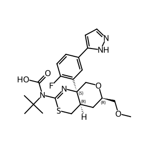 COC[C@H]1C[C@H]2CSC(N(C(=O)O)C(C)(C)C)=N[C@@]2(c2cc(-c3ccn[nH]3)ccc2F)CO1